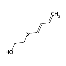 C=CC=CSCCO